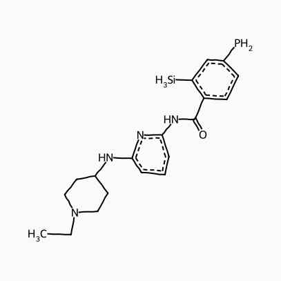 CCN1CCC(Nc2cccc(NC(=O)c3ccc(P)cc3[SiH3])n2)CC1